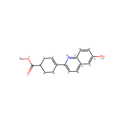 COC(=O)C1CC=C(c2ccc3cc(O)ccc3n2)CC1